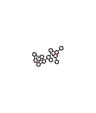 c1ccc(-c2cccc(-c3ccccc3N(c3cccc(-c4ccccc4)c3)c3ccc(-c4ccc5c(c4)C4(c6ccccc6-5)c5ccccc5-n5c6ccccc6c6cccc4c65)c4ccccc34)c2)cc1